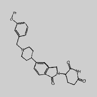 CC(C)Oc1cccc(CN2CCC(c3ccc4c(c3)CN(C3CCC(=O)NC3=O)C4=O)CC2)c1